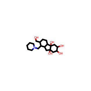 OCC1CCC2C(CC3(O)CC(O)C(O)CC23O)C1CN1CCCCC1